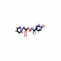 [O-][n+]1ccc(C(Cl)=NOCC(O)CN2CCCCC2)cc1